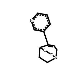 C1=C(c2cccnc2)C2CCN(C1)CC2